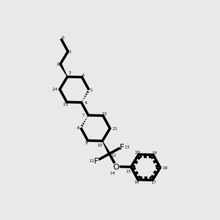 CCC[C@H]1CC[C@H]([C@H]2CC[C@H](C(F)(F)Oc3ccccc3)CC2)CC1